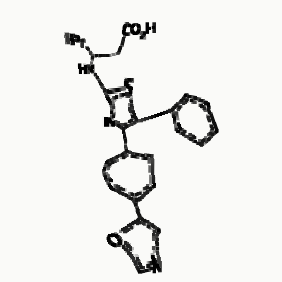 CC(C)C(CC(=O)O)Nc1nc(-c2ccc(-c3cnco3)cc2)c(-c2ccccc2)s1